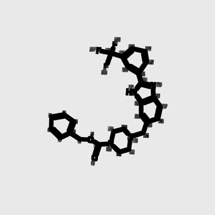 O=C(OCc1ccccc1)N1CCN(Cc2ccc3nc(-c4cccc(C(F)(F)F)c4)[nH]c3c2)CC1